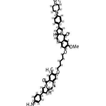 COc1cc2c(cc1OCCCCCOc1cc3c(cc1C)C(=O)N1C=C(c4ccc(N)cc4)C[C@H]1C=N3)N=C[C@@H]1CC(c3ccc(N4CCN(C)CC4)cc3)=CN1C2=O